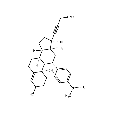 COCC#C[C@]1(O)CC[C@H]2[C@@H]3CCC4=CC(O)CC[C@]4(C)C3[C@@H](c3ccc(N(C)C)cc3)C[C@@]21C